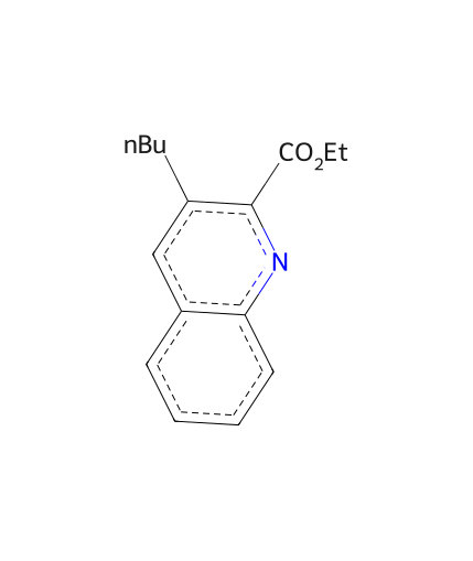 CCCCc1cc2ccccc2nc1C(=O)OCC